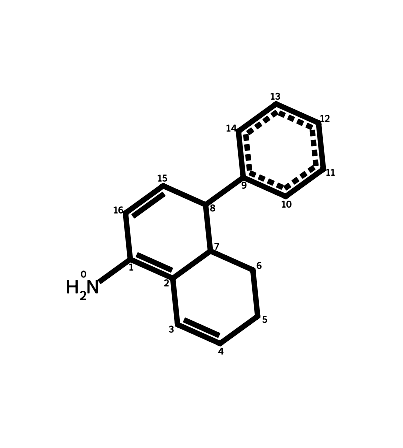 NC1=C2C=CCCC2C(c2ccccc2)C=C1